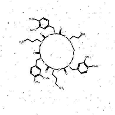 COc1ccc(CN2CCOCN(CCN)CC(=O)N(Cc3ccc(OC)c(OC)c3)CC(=O)N(CCCN)CC(=O)N(Cc3ccc(OC)c(OC)c3)CC(=O)N(CCCN)CC2=O)cc1OC